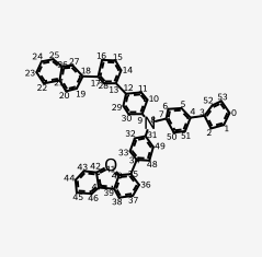 c1ccc(-c2ccc(N(c3ccc(-c4cccc(-c5ccc6ccccc6c5)c4)cc3)c3ccc(-c4cccc5c4oc4ccccc45)cc3)cc2)cc1